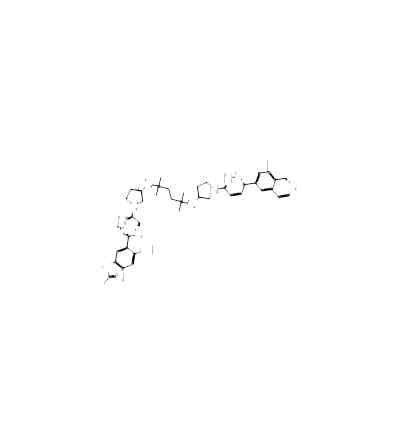 Cc1nc2cc(O)c(-c3ncc(N4CC[C@@H](NC(C)(C)CCC(C)(C)NC5CCN(c6ccc(-c7cc8ccncc8cc7O)nn6)C5)C4)nn3)cc2o1